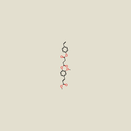 C=Cc1ccc(OC(=O)CCC(=O)Oc2ccc(/C=C/C(=O)OC)cc2OC)cc1